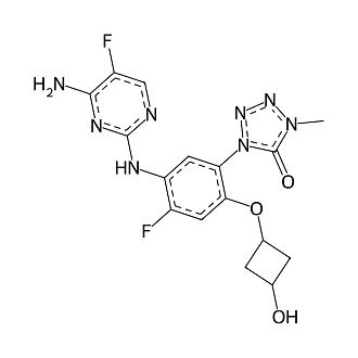 Cn1nnn(-c2cc(Nc3ncc(F)c(N)n3)c(F)cc2OC2CC(O)C2)c1=O